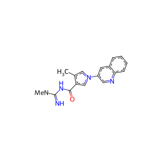 CNC(=N)NC(=O)c1cn(-c2cnc3ccccc3c2)cc1C